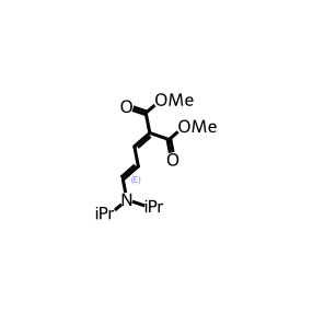 COC(=O)C(=C/C=C/N(C(C)C)C(C)C)C(=O)OC